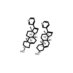 C[C@]12CC[C@H](O)CC1=CC[C@@H]1[C@@H]2CC[C@]2(C)C(c3cccnc3)=CC[C@@H]12.C[C@]12CC[C@H](O)CC1=CC[C@@H]1[C@@H]2CC[C@]2(C)C(c3cccnc3)=CC[C@@H]12